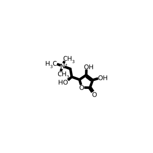 C[N+](C)(C)CC(O)C1OC(=O)C(O)=C1O